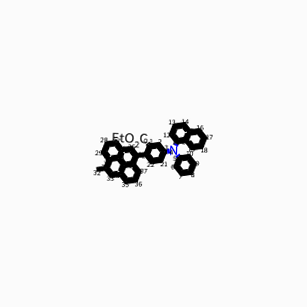 CCOC(=O)c1cc(N(c2ccccc2)c2cccc3ccccc23)ccc1-c1cc2cccc3c(C)cc4cccc1c4c23